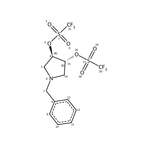 O=S(=O)(O[C@@H]1CN(Cc2ccccc2)C[C@H]1OS(=O)(=O)C(F)(F)F)C(F)(F)F